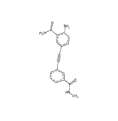 Bc1ccc(C#Cc2cccc(C(=O)NC)c2)cc1C(N)=O